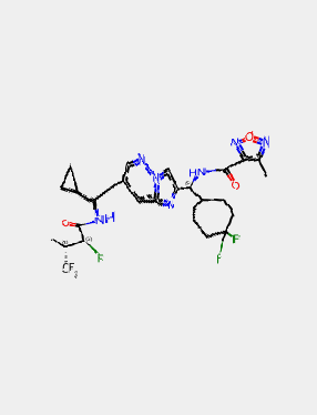 Cc1nonc1C(=O)N[C@H](c1cn2ncc(C(NC(=O)[C@@H](F)[C@@H](C)C(F)(F)F)C3CC3)cc2n1)C1CCC(F)(F)CC1